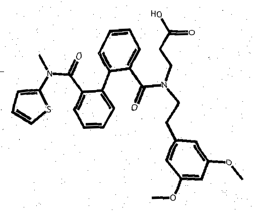 COc1cc(CCN(CCC(=O)O)C(=O)c2ccccc2-c2ccccc2C(=O)N(C)c2cccs2)cc(OC)c1